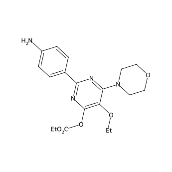 CCOC(=O)Oc1nc(-c2ccc(N)cc2)nc(N2CCOCC2)c1OCC